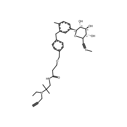 C#CCN(CC)C(C)(C)CNC(=O)CCOCc1ccc(Cc2cc([C@@H]3OC(C#SC)[C@@H](O)[C@H](O)[C@H]3O)ccc2C)cc1